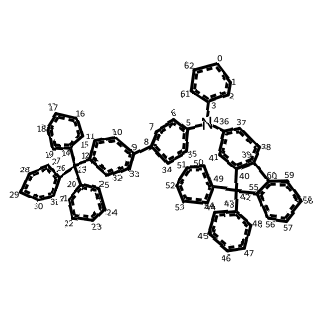 c1ccc(N(c2ccc(-c3ccc(C(c4ccccc4)(c4ccccc4)c4ccccc4)cc3)cc2)c2ccc3c(c2)C(c2ccccc2)(c2ccccc2)c2ccccc2-3)cc1